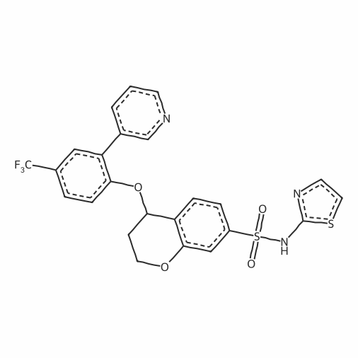 O=S(=O)(Nc1nccs1)c1ccc2c(c1)OCCC2Oc1ccc(C(F)(F)F)cc1-c1cccnc1